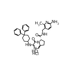 Cc1nc(N)ccc1CNC(=O)[C@@H]1CCc2cnc(NC3CCC(c4ccccc4)(c4ccccc4)CC3)c(=O)n21.Cl.Cl